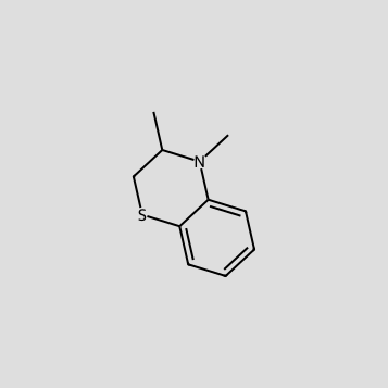 CC1CSc2ccccc2N1C